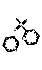 CS(=O)(=O)c1ncccn1.c1ccncc1